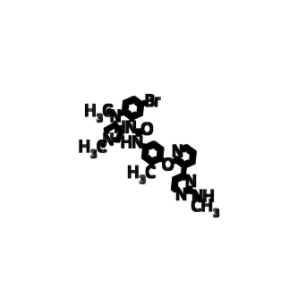 CNc1nccc(-c2cccnc2Oc2ccc(NC(=O)Nc3cc(Br)ccc3N(C)[C@@H]3CCN(C)C3)cc2C)n1